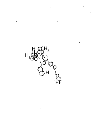 CC(C)(C)OC(=O)N1CC[C@H](c2ccc(OCCCOCC(F)(F)F)cc2)[C@@H](OC(CCCOS(C)(=O)=O)c2ccc3c(c2)NCCC3)C1